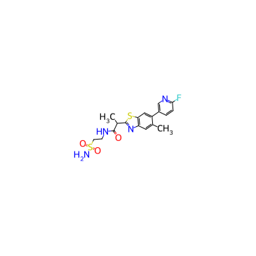 Cc1cc2nc(C(C)C(=O)NCCS(N)(=O)=O)sc2cc1-c1ccc(F)nc1